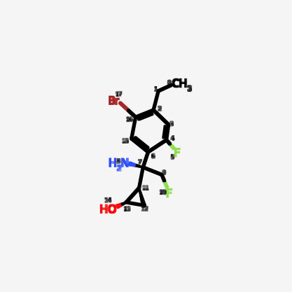 CCc1cc(F)c([C@](N)(CF)[C@H]2C[C@H]2O)cc1Br